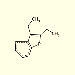 CCC1=C(CC)c2ccccc2[P]1